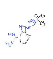 CC(C)NCn1cnc2c(C(=N)N)cccc21